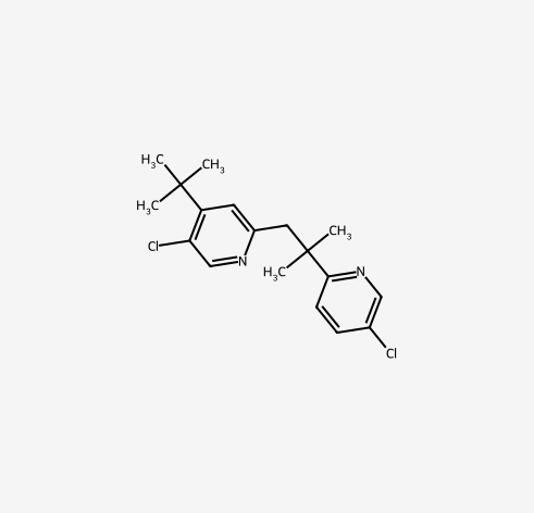 CC(C)(C)c1cc(CC(C)(C)c2ccc(Cl)cn2)ncc1Cl